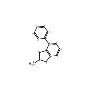 CC1[CH]c2cccc(-c3ccccc3)c2C1